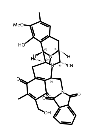 COc1c(C)cc2c(c1O)[C@H]1[C@@H]3CC4=C(C(=O)C(CO)=C(C)C4=O)[C@H](CN4C(=O)c5ccccc5C4=O)N3[C@@H](C#N)[C@H](C2)N1C